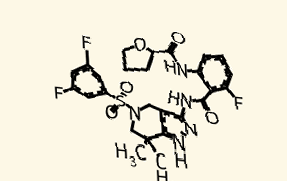 CC1(C)CN(S(=O)(=O)c2cc(F)cc(F)c2)Cc2c(NC(=O)c3c(F)cccc3NC(=O)[C@H]3CCCO3)n[nH]c21